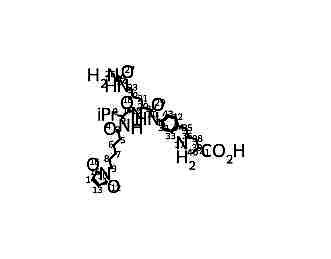 CC(C)[C@H](NC(=O)CCCCCN1C(=O)C=CC1=O)C(=O)N[C@@H](CCCNC(N)=O)C(=O)Nc1ccc(C[C@H](N)C[C@H](C)C(=O)O)cc1